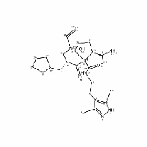 Cc1n[nH]c(C)c1CCNC(=O)[N+]1(C(=O)[C@H](CC2CCCC2)CN(O)C=O)CCC[C@H]1C(N)=O